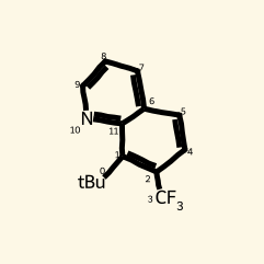 CC(C)(C)c1c(C(F)(F)F)ccc2cccnc12